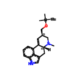 CN1C[C@H](CO[Si](C)(C)C(C)(C)C)C=C2c3cccc4[nH]cc(c34)C[C@H]21